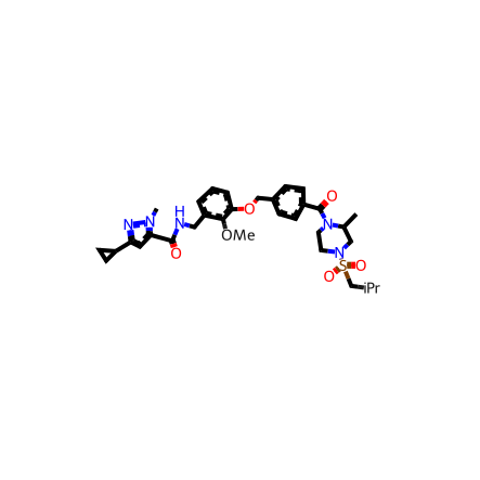 COc1c(CNC(=O)c2cc(C3CC3)nn2C)cccc1OCc1ccc(C(=O)N2CCN(S(=O)(=O)CC(C)C)CC2C)cc1